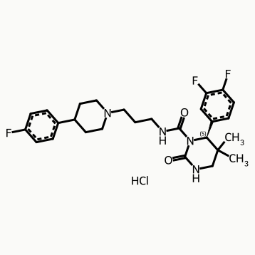 CC1(C)CNC(=O)N(C(=O)NCCCN2CCC(c3ccc(F)cc3)CC2)[C@H]1c1ccc(F)c(F)c1.Cl